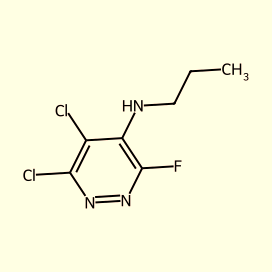 CCCNc1c(F)nnc(Cl)c1Cl